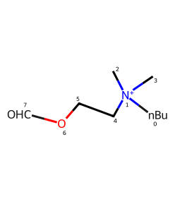 CCCC[N+](C)(C)CCOC=O